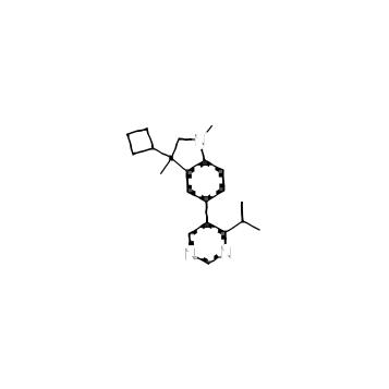 CC(C)c1ncncc1-c1ccc2c(c1)C(C)(C1CCC1)CN2C